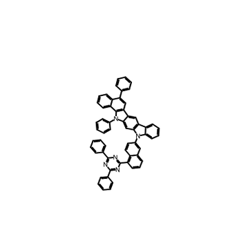 c1ccc(-c2nc(-c3ccccc3)nc(-c3cccc4cc(-n5c6ccccc6c6cc7c8cc(-c9ccccc9)c9ccccc9c8n(-c8ccccc8)c7cc65)ccc34)n2)cc1